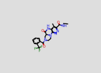 CCNC(=O)c1nnc2c(c1C)NC(=O)C1CN(C(=O)c3ccccc3C(F)(F)F)CCN21